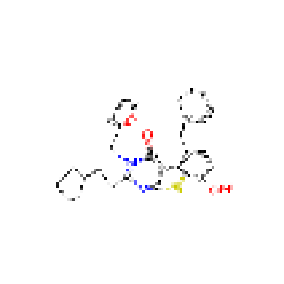 O=c1c2c(nc(CCC3CCCC3)n1Cc1ccco1)sc1c(O)ccc(Cc3ccccc3)c12